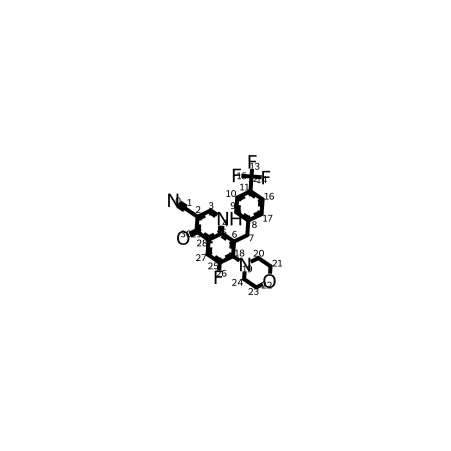 N#Cc1c[nH]c2c(Cc3ccc(C(F)(F)F)cc3)c(N3CCOCC3)c(F)cc2c1=O